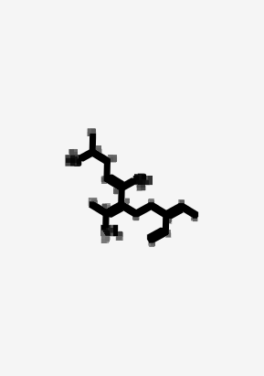 C=C/C(=C\C)CCC(/C(=C/CC(C)S)C(C)(C)C)=C(/C)N